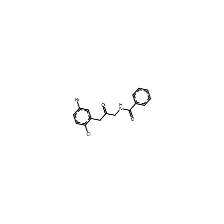 O=C(CNC(=O)c1ccccc1)Cc1cc(Br)ccc1Cl